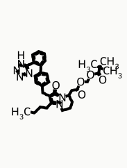 CCCCc1c(Cc2ccc(-c3ccccc3-c3nnn[nH]3)cc2)c(=O)n2n1CCCC2CC(=O)OCOC(=O)C(C)(C)C